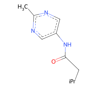 Cc1ncc(NC(=O)CC(C)C)cn1